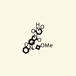 CO[C@H]1C[C@@H](CN[C@H]2CCCC[C@@H]2Oc2ccc3c(c2)CN(C2CCC(=O)NC2=O)C3=O)C1